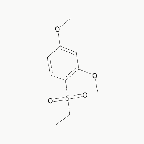 CCS(=O)(=O)c1ccc(OC)cc1OC